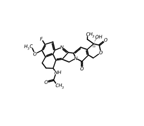 CC[C@@]1(O)C(=O)OCc2c1cc1n(c2=O)Cc2c-1nc1cc(F)c(OC)c3c1c2C(NC(C)=O)CC3